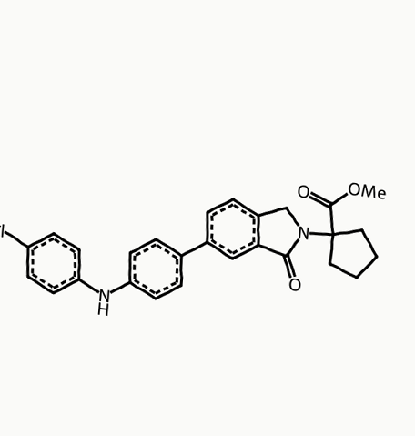 COC(=O)C1(N2Cc3ccc(-c4ccc(Nc5ccc(Cl)cc5)cc4)cc3C2=O)CCCC1